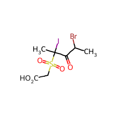 CC(Br)C(=O)C(C)(I)S(=O)(=O)CC(=O)O